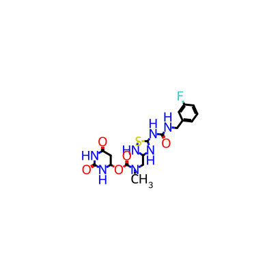 CN(CC1NSC(NC(=O)NCc2cccc(F)c2)N1)C(=O)OC1CC(=O)NC(=O)N1